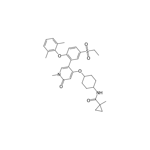 CCS(=O)(=O)c1ccc(Oc2c(C)cccc2C)c(-c2cn(C)c(=O)cc2OC2CCC(NC(=O)C3(C)CC3)CC2)c1